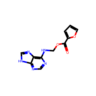 O=C(OCNc1ncnc2[nH]cnc12)c1ccco1